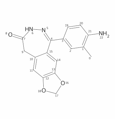 Cc1cc(C2=NNC(=O)Cc3cc4c(cc32)OCO4)ccc1N